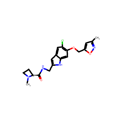 Cc1cc(COc2cc3[nH]c(CNC(=O)[C@@H]4CCN4C)cc3cc2Cl)on1